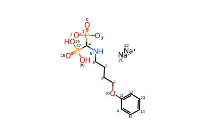 O=P([O-])([O-])C(NCCCCOc1ccccc1)P(=O)(O)O.[Na+].[Na+]